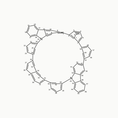 Sc1c2cccc1-c1ccc3c(c1)c1ccccc1n3-c1cccc(c1)-c1ccc3ccc(cc3c1)-c1cccc(c1)-n1c3ccccc3c3cc(ccc31)-c1cccc-2c1